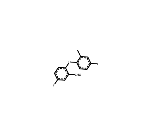 Cc1cc(F)ccc1Oc1ccc(F)cc1C=O